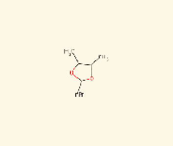 CCCC1OC(C)C(C)O1